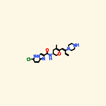 C=C/C(=C\C1=C(C)C[C@@H](NC(=O)c2cn3nc(Cl)ccc3n2)CO1)N1CCNCC1